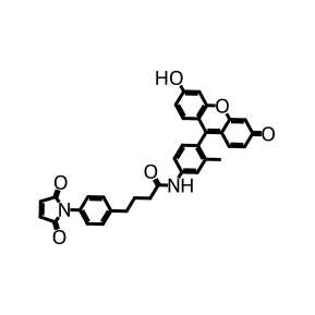 Cc1cc(NC(=O)CCCc2ccc(N3C(=O)C=CC3=O)cc2)ccc1-c1c2ccc(=O)cc-2oc2cc(O)ccc12